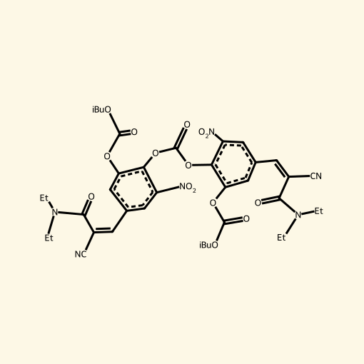 CCN(CC)C(=O)C(C#N)=Cc1cc(OC(=O)OCC(C)C)c(OC(=O)Oc2c(OC(=O)OCC(C)C)cc(C=C(C#N)C(=O)N(CC)CC)cc2[N+](=O)[O-])c([N+](=O)[O-])c1